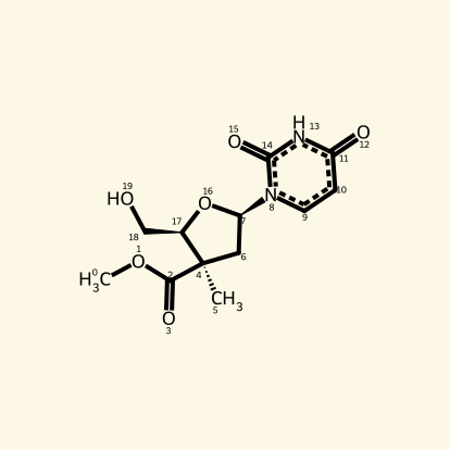 COC(=O)[C@]1(C)C[C@H](n2ccc(=O)[nH]c2=O)O[C@@H]1CO